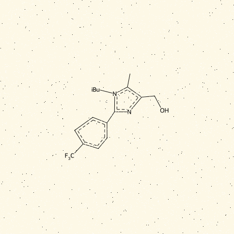 CCC(C)n1c(-c2ccc(C(F)(F)F)cc2)nc(CO)c1C